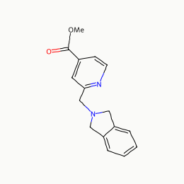 COC(=O)c1ccnc(CN2Cc3ccccc3C2)c1